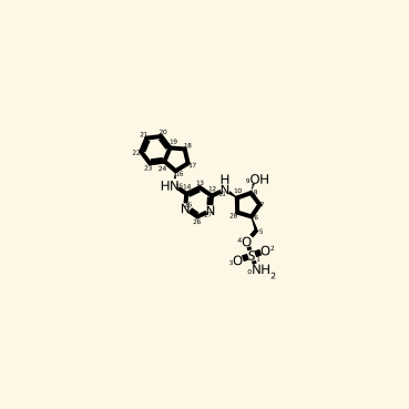 NS(=O)(=O)OC[C@@H]1C[C@@H](O)[C@H](Nc2cc(N[C@H]3CCc4ccccc43)ncn2)C1